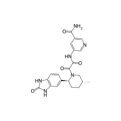 C[C@@H]1CC[C@@H](c2ccc3[nH]c(=O)[nH]c3c2)N(C(=O)C(=O)Nc2cncc(C(N)=O)c2)C1